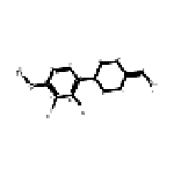 CCC=C1CCC(c2ccc(OCC)c(F)c2F)CC1